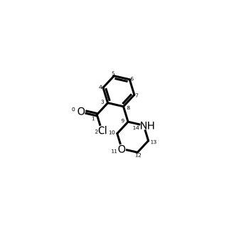 O=C(Cl)c1ccccc1C1COCCN1